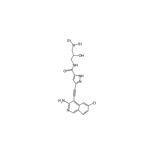 CCN(CC)CC(O)CNC(=O)c1cc(C#Cc2c(N)ncc3ccc(Cl)cc23)n[nH]1